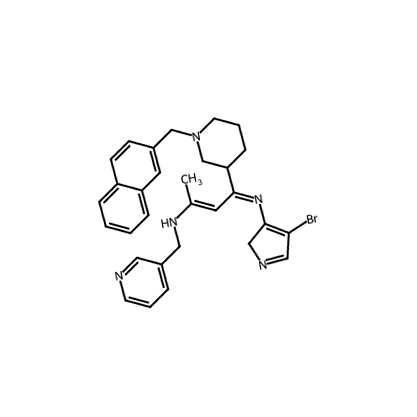 C/C(=C\C(=N/C1=C(Br)C=NC1)C1CCCN(Cc2ccc3ccccc3c2)C1)NCc1cccnc1